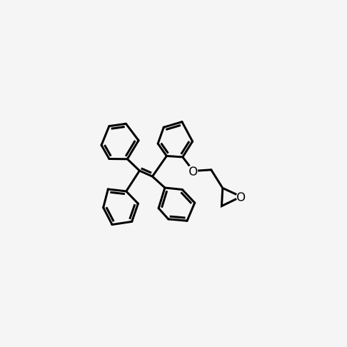 c1ccc(C(=C(c2ccccc2)c2ccccc2OCC2CO2)c2ccccc2)cc1